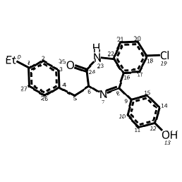 CCc1ccc(CC2N=C(c3ccc(O)cc3)c3cc(Cl)ccc3NC2=O)cc1